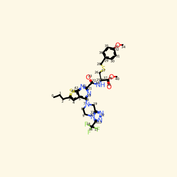 CCCc1cc2c(N3CCn4c(nnc4C(F)(F)F)C3)nc(C(=O)N[C@@H](CSCc3ccc(OC)cc3)C(=O)OC)nc2s1